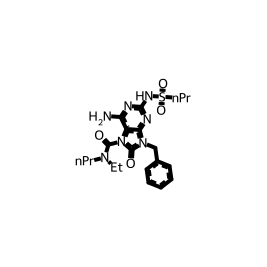 CCCN(CC)C(=O)n1c(=O)n(Cc2ccccc2)c2nc(NS(=O)(=O)CCC)nc(N)c21